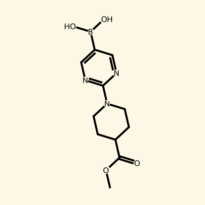 COC(=O)C1CCN(c2ncc(B(O)O)cn2)CC1